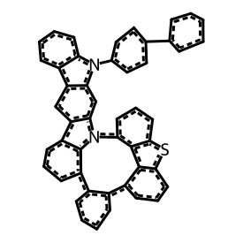 c1ccc(-c2ccc(-n3c4ccccc4c4cc5c6cccc7c8ccccc8c8cccc9sc%10cccc(c%10c98)n(c5cc43)c76)cc2)cc1